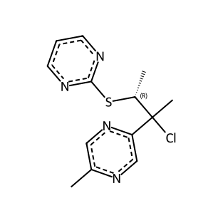 Cc1cnc(C(C)(Cl)[C@@H](C)Sc2ncccn2)cn1